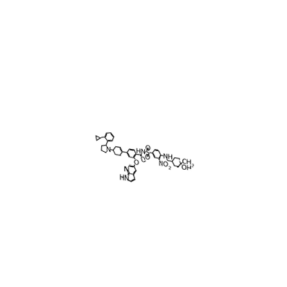 CC1(O)CCC(CNc2ccc(S(=O)(=O)NC(=O)c3ccc(C4=CCC(N5CCCC5c5ccccc5C5CC5)CC4)cc3Oc3cnc4[nH]ccc4c3)cc2[N+](=O)[O-])CC1